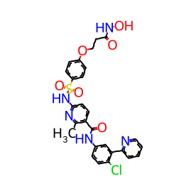 Cc1nc(NS(=O)(=O)c2ccc(OCCC(=O)NO)cc2)ccc1C(=O)Nc1ccc(Cl)c(-c2ccccn2)c1